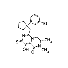 CCc1cccc(C2(Cc3nc(=S)c(O)c4n3C[C@H](C)N(C)C4=O)CCCC2)c1